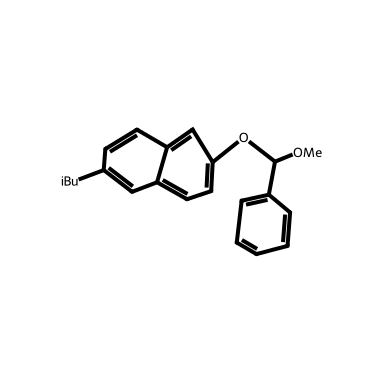 CCC(C)c1ccc2cc(OC(OC)c3ccccc3)ccc2c1